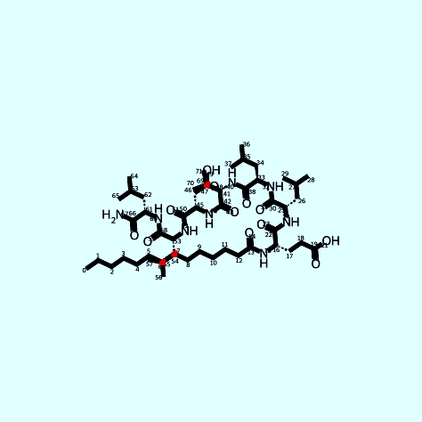 CCCCCCCCCCCCCC(=O)N[C@@H](CCC(=O)O)C(=O)N[C@@H](CC(C)C)C(=O)N[C@H](CC(C)C)C(=O)N[C@H](C(=O)N[C@@H](CC(=O)O)C(=O)N[C@H](CC(C)C)C(=O)N[C@@H](CC(C)C)C(N)=O)C(C)C